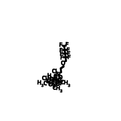 C[Si](C)(Cl)O[Si](C)(C)O[Si](C)(C)O[Si](C)(Cl)CCCOCC(F)(F)C(F)(F)C(F)(F)C(F)F